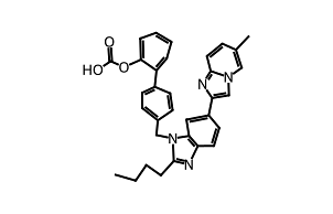 CCCCc1nc2ccc(-c3cn4cc(C)ccc4n3)cc2n1Cc1ccc(-c2ccccc2OC(=O)O)cc1